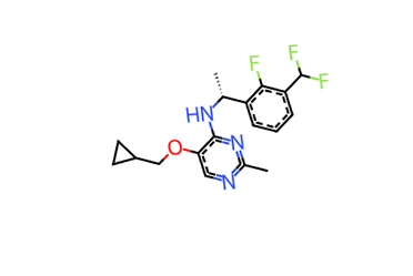 Cc1ncc(OCC2CC2)c(N[C@H](C)c2cccc(C(F)F)c2F)n1